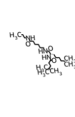 CCCNC(=O)CCCCCNC(=O)[C@H](CCCCC(C)C)NC(=O)CCC(C)(C)C